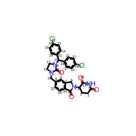 O=C1CCC(N2Cc3cc(CN4CCN(C(c5ccc(Cl)cc5)c5ccc(Cl)cc5)C4=O)ccc3C2=O)C(=O)N1